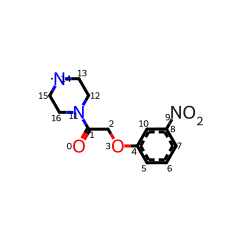 O=C(COc1cccc([N+](=O)[O-])c1)N1CC[N]CC1